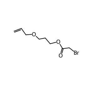 C=CCOCCCOC(=O)CBr